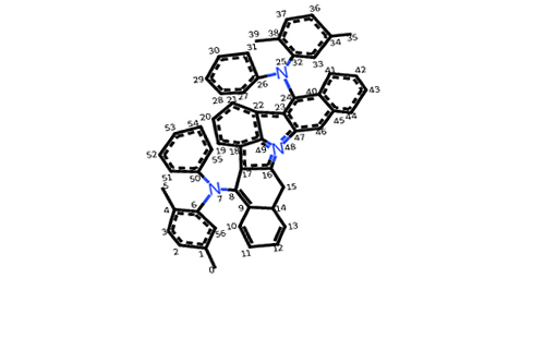 Cc1ccc(C)c(N(C2=C3C=CC=CC3Cc3c2c2cccc4c5c(N(c6ccccc6)c6cc(C)ccc6C)c6ccccc6cc5n3c24)c2ccccc2)c1